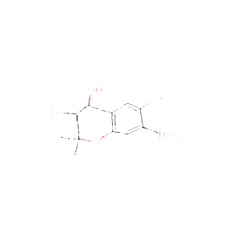 CC(=O)Nc1cc2c(cc1[N+](=O)[O-])C(O)C(Br)C(C)(C)O2